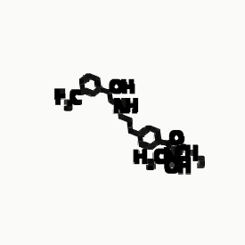 C[N+](C)(O)C(=O)c1ccc(CCCNCC(O)c2cccc(C(F)(F)F)c2)cc1